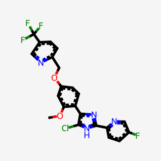 COc1cc(OCc2ccc(C(F)(F)F)cn2)ccc1-c1nc(-c2ccc(F)cn2)[nH]c1Cl